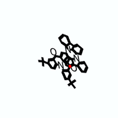 CC(C)(C)c1ccc2c(c1)c(=O)c1cc(-n3c4ccccc4c4cccc(-n5c6ccccc6c6ccccc65)c43)cc3c(=O)c4cc(C(C)(C)C)ccc4n2c13